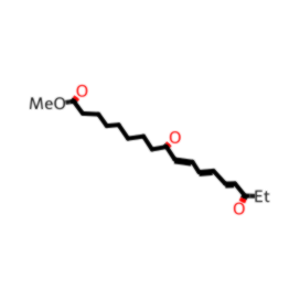 CCC(=O)C=CC=CC=CC(=O)CCCCCCCC(=O)OC